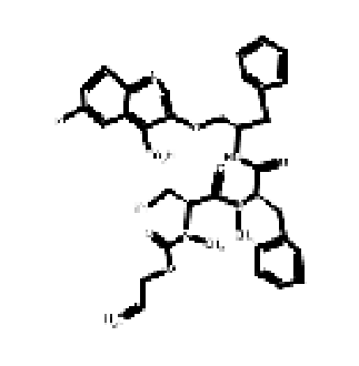 C=CCOC(=O)N(C)[C@@H](CC(C)C)C(=O)N(C)[C@H](Cc1ccccc1)C(=O)N[C@@H](COc1cnc2ccc(F)cc2c1C(=O)O)Cc1ccccc1